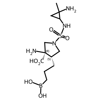 CC1(N)CC1NS(=O)(=O)N1C[C@H](CCCB(O)O)[C@](N)(C(=O)O)C1